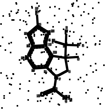 CC1(C(F)(F)F)CN(C(N)=O)c2cnc3cc(F)nn3c21